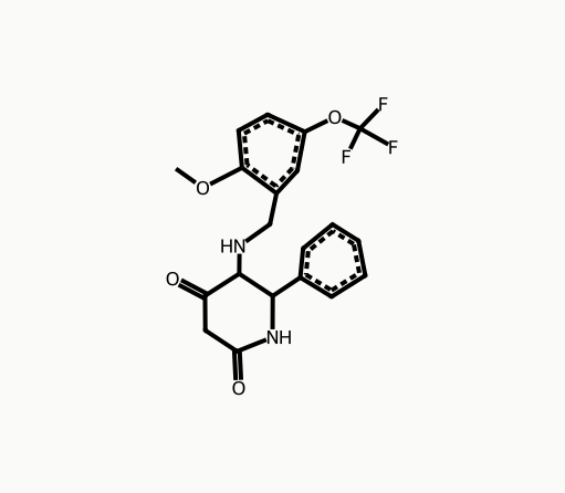 COc1ccc(OC(F)(F)F)cc1CNC1C(=O)CC(=O)NC1c1ccccc1